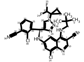 CC(C)(C)CNc1c(C#N)cnc2c(Cl)cc(N[C@H](c3cn(C4(C(F)F)CC4)nn3)c3cccc(C#N)c3Cl)cc12